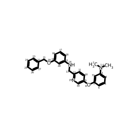 CN(C)c1cccc(Oc2ccc(CNc3cccc(OCc4ccccc4)c3)nc2)c1